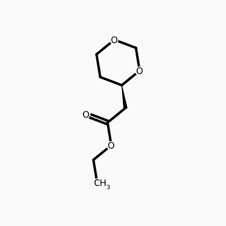 CCOC(=O)C[C@H]1CCOCO1